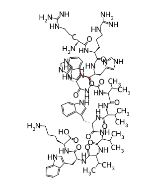 CC(C)[C@H](NC(=O)[C@H](Cc1c[nH]c2ccccc12)NC(=O)[C@@H](NC(=O)[C@@H](NC(=O)[C@H](Cc1c[nH]c2ccccc12)NC(=O)[C@H](Cc1c[nH]cn1)NC(=O)[C@H](Cc1c[nH]cn1)NC(=O)[C@H](CCCNC(=N)N)NC(=O)[C@@H](N)CCCNC(=N)N)C(C)C)C(C)C)C(=O)N[C@H](C(=O)N[C@@H](Cc1c[nH]c2ccccc12)C(=O)N[C@@H](CCCCN)C(=O)O)C(C)C